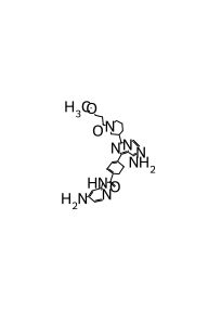 COCCC(=O)N1CCCC(c2nc(C3=CC=C(C(=O)Nc4cc(N)ccn4)CC3)c3c(N)nccn23)C1